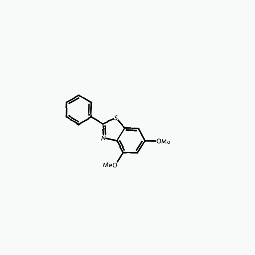 COc1cc(OC)c2nc(-c3ccccc3)sc2c1